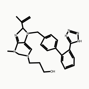 C=C(C)C1N=C2C(=CN(CCCO)CN2C)N1Cc1ccc(-c2ccccc2-c2nnn[nH]2)cc1